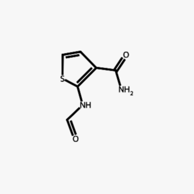 NC(=O)c1ccsc1NC=O